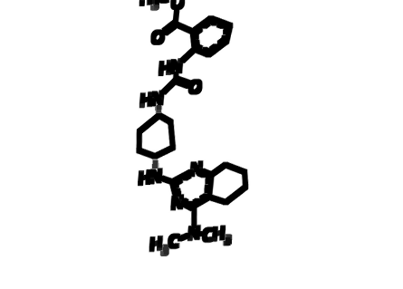 COC(=O)c1ccccc1NC(=O)N[C@H]1CC[C@@H](Nc2nc3c(c(N(C)C)n2)CCCC3)CC1